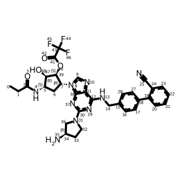 CCC(=O)N[C@H]1C[C@@H](n2cnc3c(NCc4ccc(-c5ccccc5C#N)cc4)nc(N4CC[C@@H](N)C4)nc32)[C@H](OC(=O)C(F)(F)F)[C@@H]1O